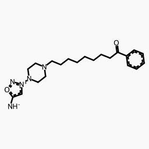 [NH-]c1c[n+](N2CCN(CCCCCCCCC(=O)c3ccccc3)CC2)no1